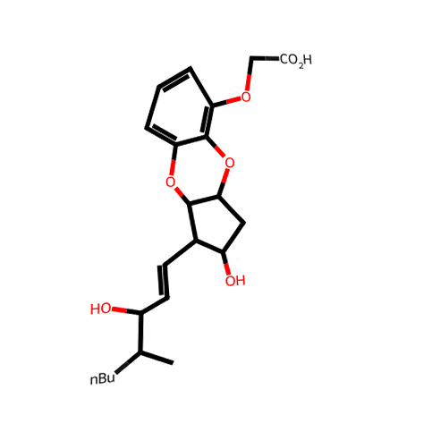 CCCCC(C)C(O)C=CC1C(O)CC2Oc3c(OCC(=O)O)cccc3OC21